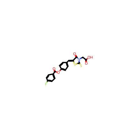 O=C(O)CN1C(=O)C(=Cc2ccc(OC(=O)c3ccc(F)cc3)cc2)SC1=S